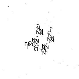 Cc1c(Cl)cc(OC(F)F)c2nc(CCc3nc(N4CCCC4)nn3C)nn12.Cc1ncc(C)n2nc(CCc3nc(N4CCC(F)C4)nn3C)nc12